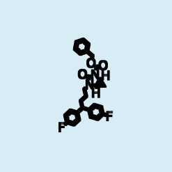 O=C(OCc1ccccc1)N1C(=O)N(CCCC(c2ccc(F)cc2)c2ccc(F)cc2)[C@H]2C[C@H]21